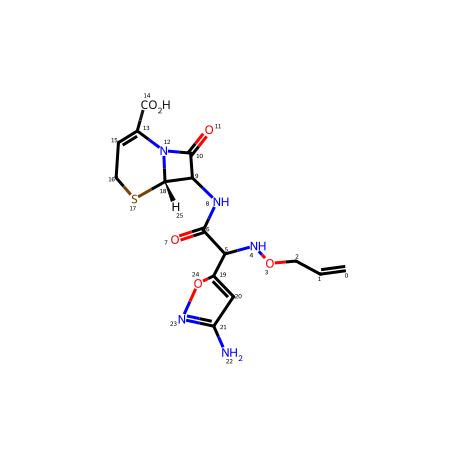 C=CCONC(C(=O)NC1C(=O)N2C(C(=O)O)=CCS[C@@H]12)c1cc(N)no1